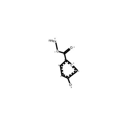 CCCCCCOC(=O)c1ccc([O])cc1